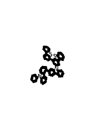 c1ccc(-n2c3ccccc3c3c(-c4ccc5c6ccccc6n(-c6cc(-c7cccc8c7sc7ccccc78)c7sc8ccccc8c7c6)c5c4)cccc32)cc1